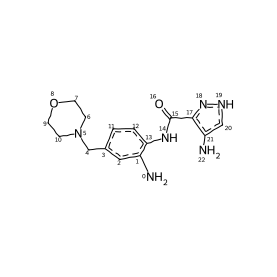 Nc1cc(CN2CCOCC2)ccc1NC(=O)c1n[nH]cc1N